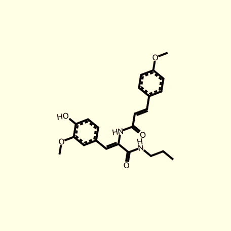 CCCNC(=O)/C(=C/c1ccc(O)c(OC)c1)NC(=O)/C=C/c1ccc(OC)cc1